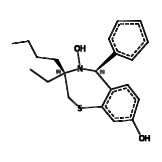 CCCC[C@]1(CC)CSc2cc(O)ccc2[C@H](c2ccccc2)N1O